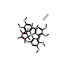 COc1cc(OC)c([Si](c2c(OC)cc(OC)c(OC)c2C)(c2c(OC)cc(OC)c(OC)c2C)C2(C)C(C)=C(C)C(C)=[C]2[Ti+3])c(C)c1OC.[Cl-].[Cl-].[Cl-]